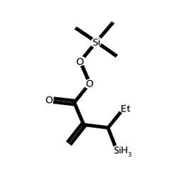 C=C(C(=O)OO[Si](C)(C)C)C([SiH3])CC